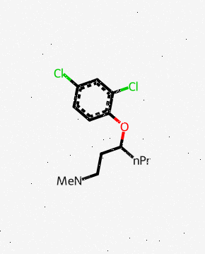 CCCC(CCNC)Oc1ccc(Cl)cc1Cl